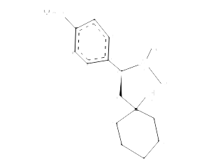 COc1ccc([C@H](CC2(O)CCCCC2)[As](C)C)cc1